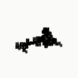 CC(C)(C)OC(=O)NCCCNC(=N)NCc1cnn(C[C@H]2[C@H](NC(=O)C(=NOC3(C(=O)O)CC3)c3csc(N)n3)C(=O)N2S(=O)(=O)O)n1